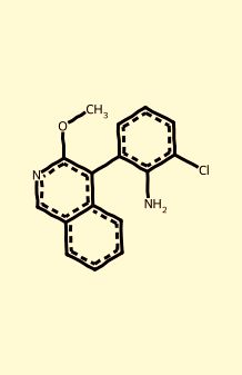 COc1ncc2ccccc2c1-c1cccc(Cl)c1N